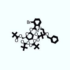 CC(C)(C)C(=O)OC[C@H]1O[C@@H](Oc2nn(CCOCc3ccccc3)c3cccc(Br)c23)[C@H](OC(=O)C(C)(C)C)[C@@H](OC(=O)C(C)(C)C)[C@@H]1OC(=O)C(C)(C)C